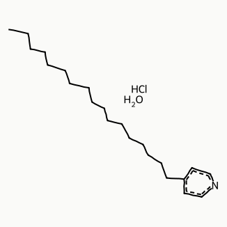 CCCCCCCCCCCCCCCCCc1ccncc1.Cl.O